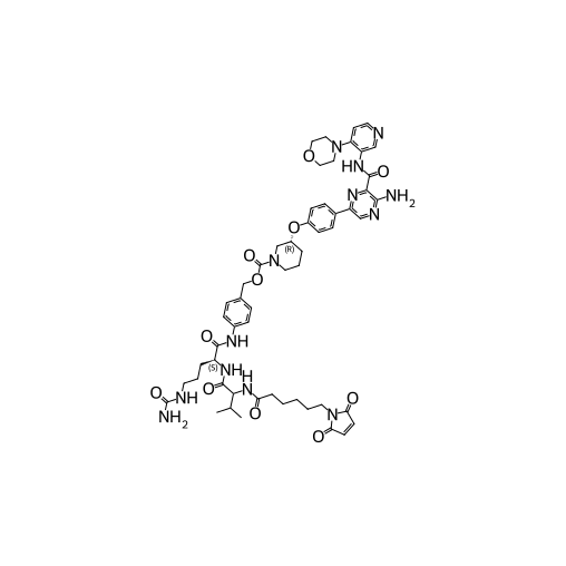 CC(C)C(NC(=O)CCCCCN1C(=O)C=CC1=O)C(=O)N[C@@H](CCCNC(N)=O)C(=O)Nc1ccc(COC(=O)N2CCC[C@@H](Oc3ccc(-c4cnc(N)c(C(=O)Nc5cnccc5N5CCOCC5)n4)cc3)C2)cc1